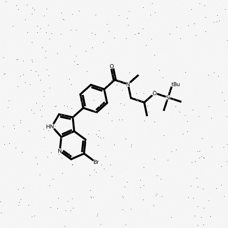 CC(CN(C)C(=O)c1ccc(-c2c[nH]c3ncc(Br)cc23)cc1)O[Si](C)(C)C(C)(C)C